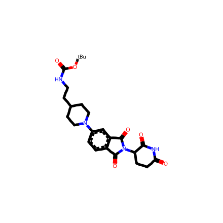 CC(C)(C)OC(=O)NCCC1CCN(c2ccc3c(c2)C(=O)N(C2CCC(=O)NC2=O)C3=O)CC1